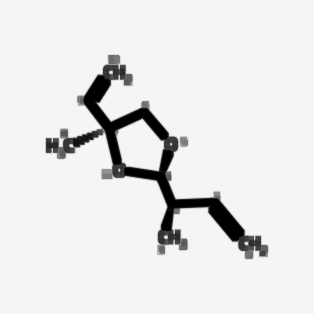 C=C[C@@H](C)[C@@H]1OC[C@](C)(C=C)O1